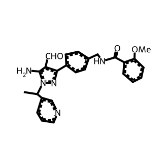 COc1ccccc1C(=O)NCc1ccc(-c2nn(C(C)c3cccnc3)c(N)c2C=O)cc1